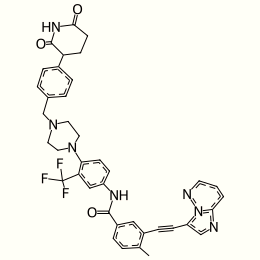 Cc1ccc(C(=O)Nc2ccc(N3CCN(Cc4ccc(C5CCC(=O)NC5=O)cc4)CC3)c(C(F)(F)F)c2)cc1C#Cc1cnc2cccnn12